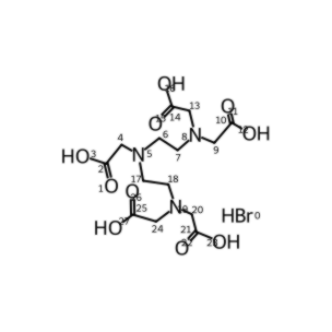 Br.O=C(O)CN(CCN(CC(=O)O)CC(=O)O)CCN(CC(=O)O)CC(=O)O